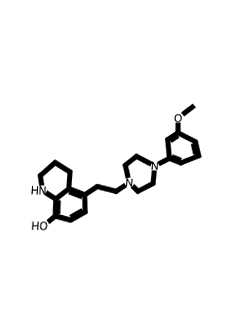 COc1cccc(N2CCN(CCc3ccc(O)c4c3CCCN4)CC2)c1